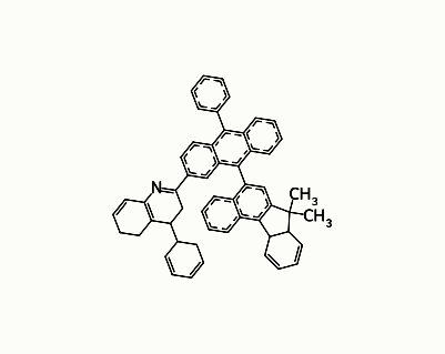 CC1(C)c2cc(-c3c4ccccc4c(-c4ccccc4)c4ccc(C5=NC6=C(CCC=C6)C(C6C=CC=CC6)C5)cc34)c3ccccc3c2C2C=CC=CC21